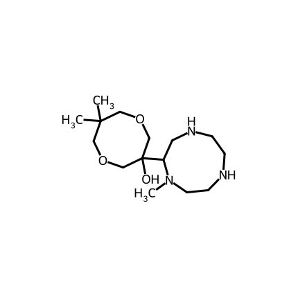 CN1CCNCCNCC1C1(O)COCC(C)(C)COC1